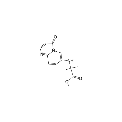 COC(=O)C(C)(C)Nc1ccc2nccc(=O)n2c1